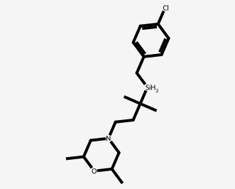 CC1CN(CCC(C)(C)[SiH2]Cc2ccc(Cl)cc2)CC(C)O1